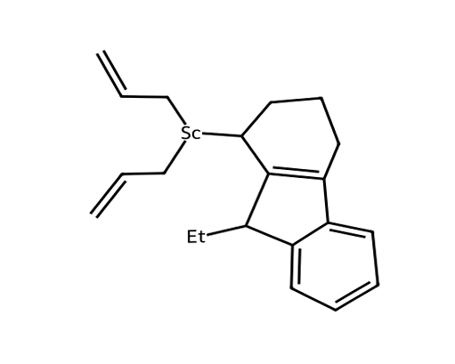 C=C[CH2][Sc]([CH2]C=C)[CH]1CCCC2=C1C(CC)c1ccccc12